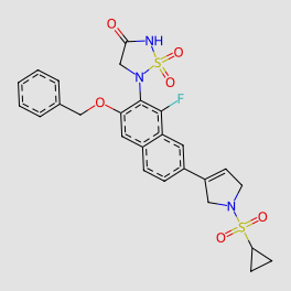 O=C1CN(c2c(OCc3ccccc3)cc3ccc(C4=CCN(S(=O)(=O)C5CC5)C4)cc3c2F)S(=O)(=O)N1